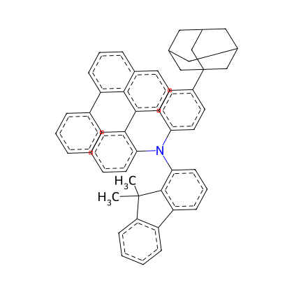 CC1(C)c2ccccc2-c2cccc(N(c3ccc(C45CC6CC(CC(C6)C4)C5)cc3)c3ccccc3-c3cccc4cccc(-c5ccccc5)c34)c21